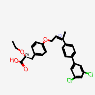 CCO[C@@H](Cc1ccc(OC/C=C(/C)c2ccc(-c3cc(Cl)cc(Cl)c3)cc2)cc1)C(=O)O